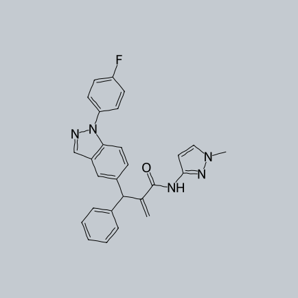 C=C(C(=O)Nc1ccn(C)n1)C(c1ccccc1)c1ccc2c(cnn2-c2ccc(F)cc2)c1